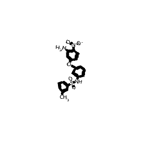 Cc1cccc(S(=O)(=O)Nc2cccc(Oc3ccc([N+](=O)[O-])c(N)c3)c2)c1